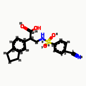 N#Cc1ccc(S(=O)(=O)NCC(C(=O)O)c2ccc3c(c2)CCC3)cc1